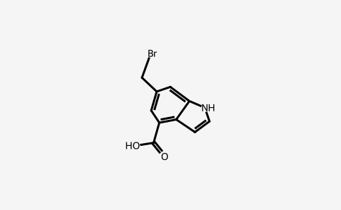 O=C(O)c1cc(CBr)cc2[nH]ccc12